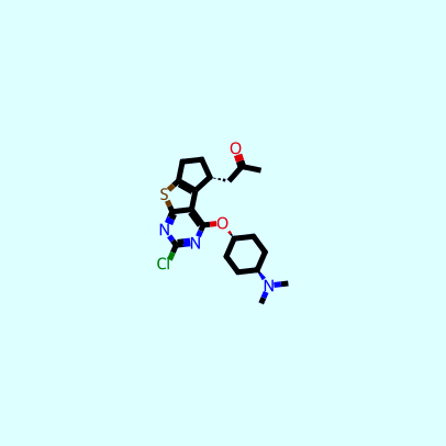 CC(=O)C[C@H]1CCc2sc3nc(Cl)nc(O[C@H]4CC[C@H](N(C)C)CC4)c3c21